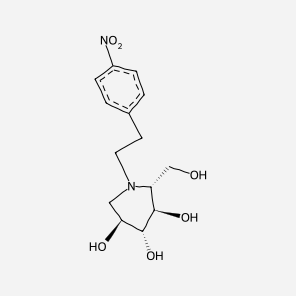 O=[N+]([O-])c1ccc(CCN2C[C@H](O)[C@@H](O)[C@H](O)[C@H]2CO)cc1